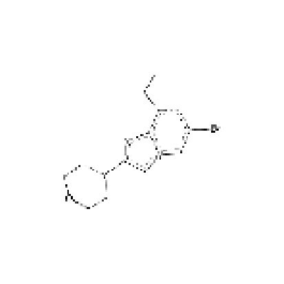 CCc1cc(Br)cn2cc(C3CCOCC3)nc12